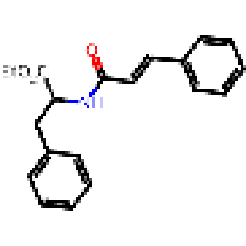 CCOC(=O)[C@H](Cc1ccccc1)NC(=O)C=Cc1ccccc1